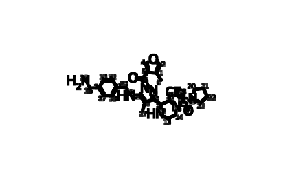 Cc1cocc1C(=O)n1nc(C2NCCN(S(=O)(=O)N3CCCC3)C2C(F)(F)F)c(C)c1NCc1ccc(CN)cc1